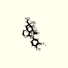 C[C@]12O[C@@]3(CCO[C@H]4[C@@H]3[C@@H]1C(=O)N4c1ccc(C#N)c(C(F)(F)F)c1)C[C@]2(O)CO